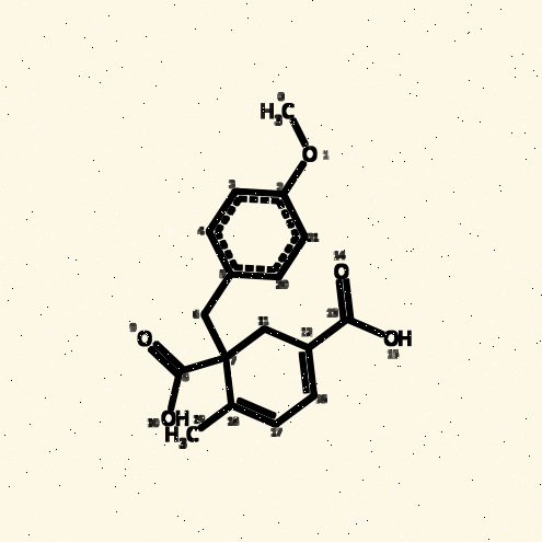 COc1ccc(CC2(C(=O)O)CC(C(=O)O)=CC=C2C)cc1